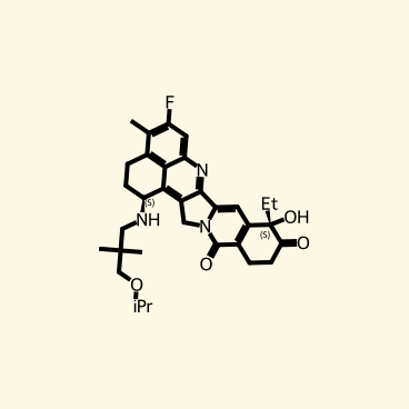 CC[C@@]1(O)C(=O)CCc2c1cc1n(c2=O)Cc2c-1nc1cc(F)c(C)c3c1c2[C@@H](NCC(C)(C)COC(C)C)CC3